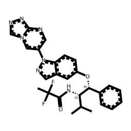 CC(C)[C@H](NC(=O)C(C)(F)F)[C@H](Oc1ccc2c(cnn2-c2cnc3nncn3c2)c1)c1ccccc1